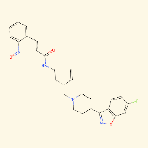 C=C[C@@H](CCNC(=O)/C=C/c1ccccc1N=O)CN1CCC(c2noc3cc(F)ccc23)CC1